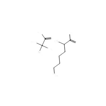 CC(C)(N)C(=O)O.CCCCCC(N)C(=O)O